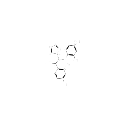 OC(c1ccc(Cl)cc1Cl)C(Oc1ccc(Cl)cc1Cl)n1cncn1